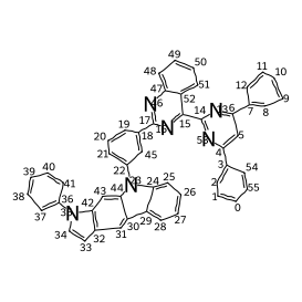 c1ccc(-c2cc(-c3ccccc3)nc(-c3nc(-c4cccc(-n5c6ccccc6c6cc7ccn(-c8ccccc8)c7cc65)c4)nc4ccccc34)n2)cc1